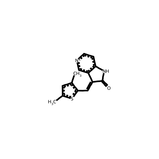 Cc1cc(C)c(C=C2C(=O)Nc3ccncc32)s1